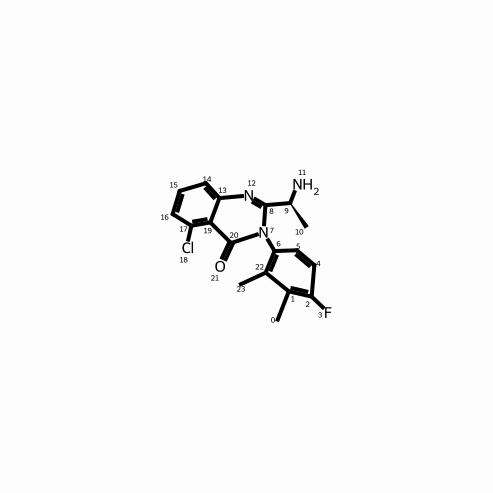 Cc1c(F)ccc(-n2c([C@H](C)N)nc3cccc(Cl)c3c2=O)c1C